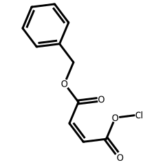 O=C(/C=C\C(=O)OCc1ccccc1)OCl